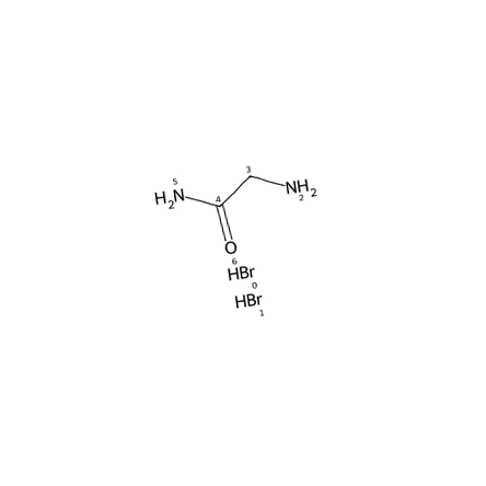 Br.Br.NCC(N)=O